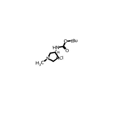 CN1CC[C@@H](NC(=O)OC(C)(C)C)C1.Cl